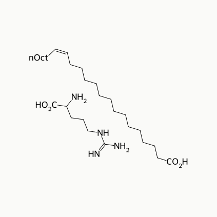 CCCCCCCC/C=C\CCCCCCCCCCCCCC(=O)O.N=C(N)NCCCC(N)C(=O)O